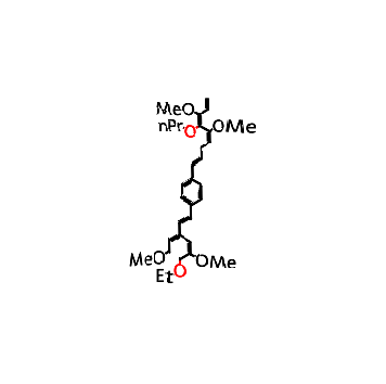 C=C/C(OC)=C(OCCC)\C(=C/C/C=C/c1ccc(/C=C/C(=C/COC)/C=C(\COCC)OC)cc1)OC